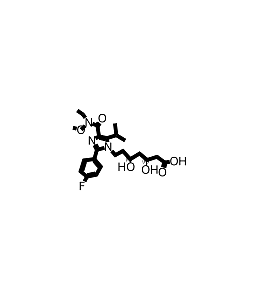 CCN(OC)C(=O)c1nc(-c2ccc(F)cc2)n(CC[C@@H](O)C[C@@H](O)CC(=O)O)c1C(C)C